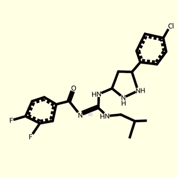 CC(C)CN/C(=N/C(=O)c1ccc(F)c(F)c1)NC1CC(c2ccc(Cl)cc2)NN1